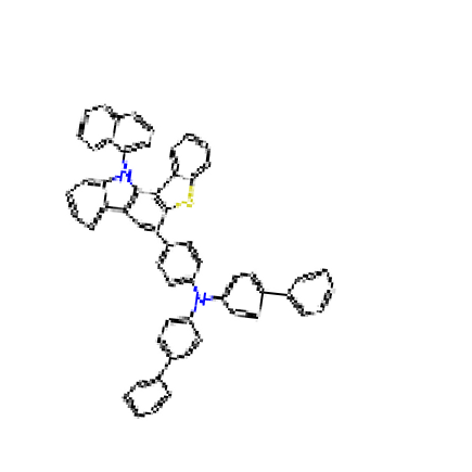 c1ccc(-c2ccc(N(c3ccc(-c4ccccc4)cc3)c3ccc(-c4cc5c6ccccc6n(-c6cccc7ccccc67)c5c5c4sc4ccccc45)cc3)cc2)cc1